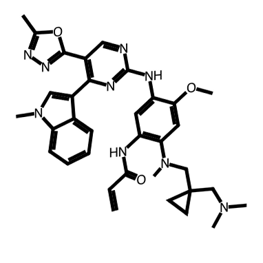 C=CC(=O)Nc1cc(Nc2ncc(-c3nnc(C)o3)c(-c3cn(C)c4ccccc34)n2)c(OC)cc1N(C)CC1(CN(C)C)CC1